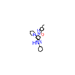 CCc1ccc(C(=O)Nc2cc3nc(C4CCCCC4)[nH]c3cc2N2CCCCC2)cc1